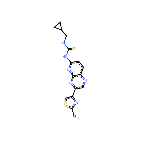 Cc1nc(-c2cnc3ccc(NC(=S)NCC4CC4)nc3n2)cs1